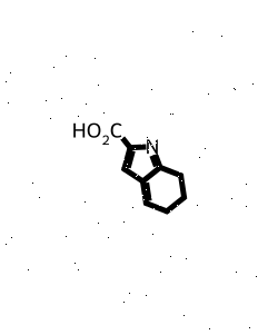 O=C(O)C1=CC2=CCCCC2=N1